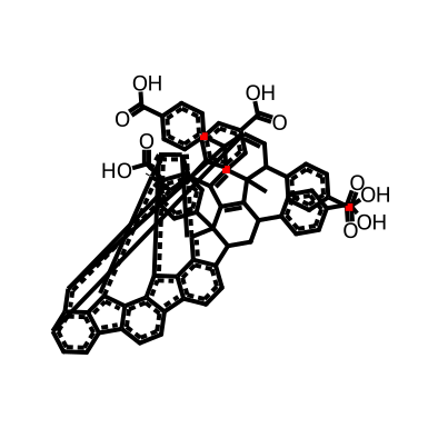 CC12C3=C4C5=C1C1(c6ccc(C(=O)O)cc6)C(=CC2c2ccc(C(=O)O)cc2)c2ccc6c7ccc8c9ccc%10c%11c(c%12c%13c%14c(c1c2c6c%14c7c8c%13c%119)[C@@]5%12c1ccc(C(=O)O)cc1)C4(c1ccc(C(=O)O)cc1)C%10CC3c1ccc(C(=O)O)cc1